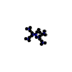 c1ccc(-c2ccccc2-c2cccc(-c3cc(-n4c5ccc(-c6ccc7c(c6)c6ccccc6n7-c6ccccc6)cc5c5cc(-c6ccc7c(c6)c6ccccc6n7-c6ccccc6)ccc54)nc(-c4cccc(-n5c6ccc(-c7ccc8c(c7)c7ccccc7n8-c7ccccc7)cc6c6cc(-c7ccc8c(c7)c7ccccc7n8-c7ccccc7)ccc65)c4)n3)c2)cc1